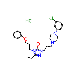 CCc1nn(CCCN2CCN(c3cccc(Cl)c3)CC2)c(=O)n1CCCOc1ccccc1.Cl